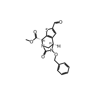 COC(=O)[C@@H]1c2sc(C=O)cc2[C@@H]2CN1C(=O)N2OCc1ccccc1